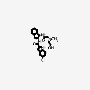 CN(CCO)CC(=O)N[C@H]1c2ccccc2C[C@H]1NC(=O)c1cc2cc(Cl)ccc2[nH]1